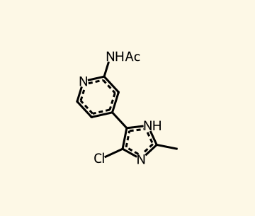 CC(=O)Nc1cc(-c2[nH]c(C)nc2Cl)ccn1